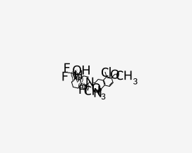 COc1ccc(C#N)c(CC(=O)N2CC[C@H]3[C@H]([C@@H](O)C(F)F)CCC[C@@H]3[C@@H]2C)c1Cl